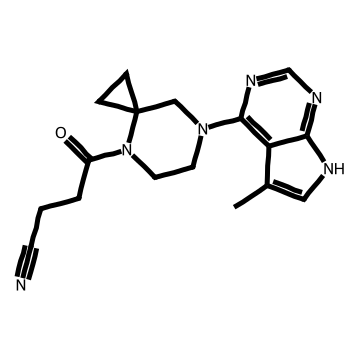 Cc1c[nH]c2ncnc(N3CCN(C(=O)CCC#N)C4(CC4)C3)c12